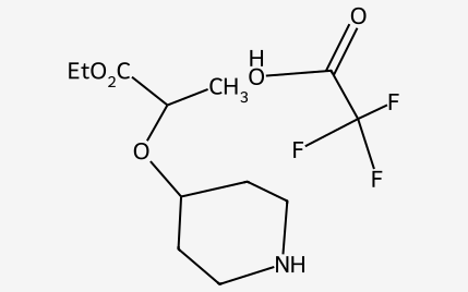 CCOC(=O)C(C)OC1CCNCC1.O=C(O)C(F)(F)F